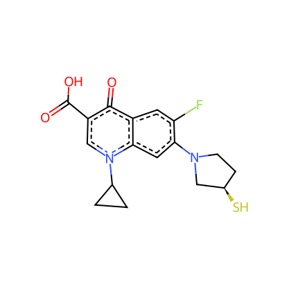 O=C(O)c1cn(C2CC2)c2cc(N3CC[C@@H](S)C3)c(F)cc2c1=O